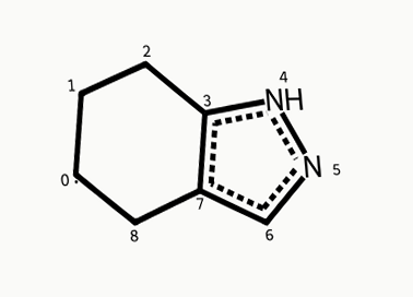 [CH]1CCc2[nH]ncc2C1